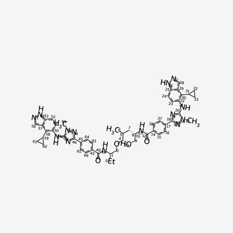 CCC(COCC(C)C[C@@H](CO)NC(=O)c1ccc(-c2nc(Nc3ccc4[nH]ncc4c3C3CC3)n(C)n2)cc1)NC(=O)c1ccc(-c2nc(Nc3ccc4[nH]ncc4c3C3CC3)n(C)n2)cc1